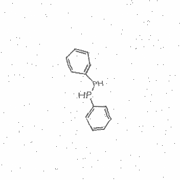 c1ccc(PPc2ccccc2)cc1